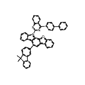 CC1(C)c2ccccc2-c2cc(-c3cc4c5ccccc5oc4c4c3c3ccccc3n4-c3nc(-c4ccc(-c5ccccc5)cc4)c4ccccc4n3)ccc21